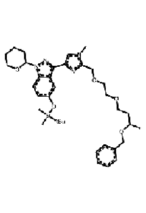 CC(CCOCCOCc1nc(-c2nn(C3CCCCO3)c3ccc(O[Si](C)(C)C(C)(C)C)cc23)cn1C)OCc1ccccc1